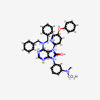 CN(C(=O)O)c1cccc(-n2c(=O)n(-c3ccc(Oc4ccccc4)cn3)c3c(N(Cc4ccccc4)Cc4ccccc4)ncnc32)c1